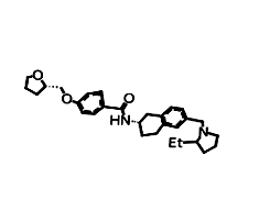 CCC1CCCN1Cc1ccc2c(c1)CC[C@H](NC(=O)c1ccc(OC[C@@H]3CCCO3)cc1)C2